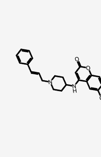 O=c1cc(NC2CCN(CC=Cc3ccccc3)CC2)c2cc(Cl)ccc2o1